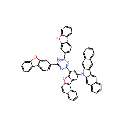 c1ccc2cc3c(cc2c1)c1cc2ccccc2cc1n3-c1cc(-c2nc(-c3ccc4c(c3)oc3ccccc34)nc(-c3ccc4c(c3)oc3ccccc34)n2)c2oc3ccc4ccccc4c3c2c1